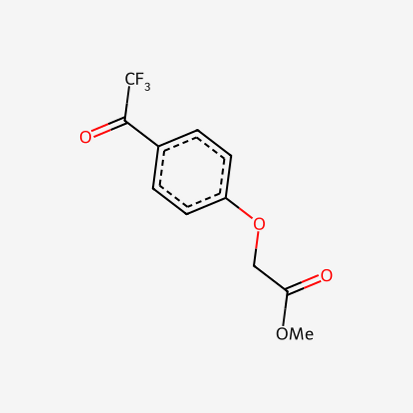 COC(=O)COc1ccc(C(=O)C(F)(F)F)cc1